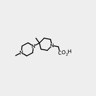 CN1CCN(C2(C)CCN(CC(=O)O)CC2)CC1